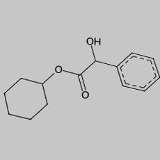 O=C(OC1CCCCC1)C(O)c1ccccc1